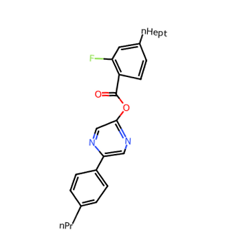 CCCCCCCc1ccc(C(=O)Oc2cnc(-c3ccc(CCC)cc3)cn2)c(F)c1